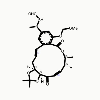 COCOc1cc(N(C)BC=O)cc2c1C(=O)O[C@@H](C)[C@H](C)/C=C\C(=O)[C@H]1OC(C)(C)O[C@H]1C/C=C/2